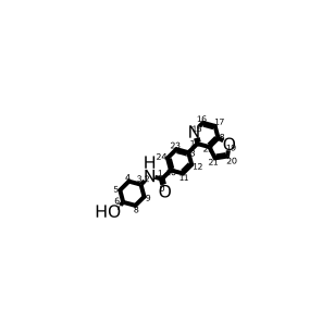 O=C(NC1CCC(O)CC1)c1ccc(-c2nccc3occc23)cc1